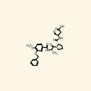 COc1ccc(C(=O)N[C@@H](C)C(=O)N2CCC[C@H]2C(=O)NC(C=O)CC(=O)O)cc1OCc1ccccc1